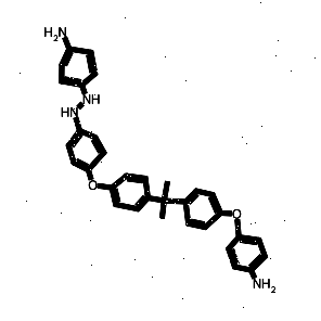 CC(C)(c1ccc(Oc2ccc(N)cc2)cc1)c1ccc(Oc2ccc(NNc3ccc(N)cc3)cc2)cc1